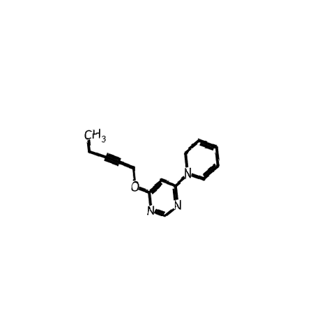 CCC#CCOc1cc(N2C=CC=CC2)ncn1